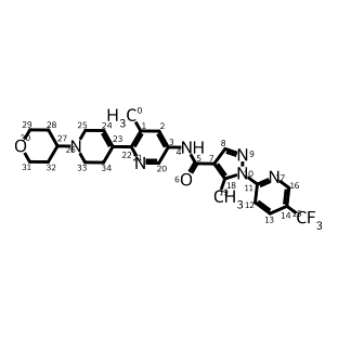 Cc1cc(NC(=O)c2cnn(-c3ccc(C(F)(F)F)cn3)c2C)cnc1C1=CCN(C2CCOCC2)CC1